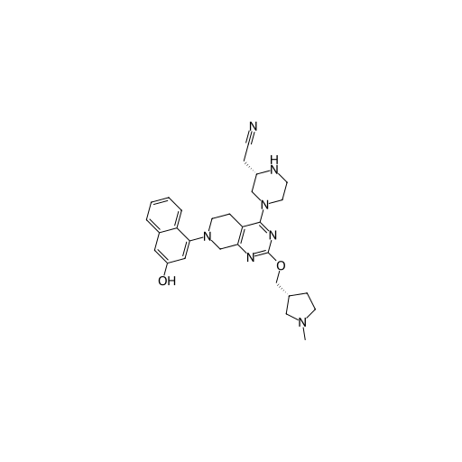 CN1CC[C@@H](COc2nc3c(c(N4CCN[C@@H](CC#N)C4)n2)CCN(c2cc(O)cc4ccccc24)C3)C1